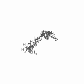 C=C(NC(=O)c1csc(-c2ccc(NC(=O)CCC(=O)N3Cc4ccccc4/C(N(N)CCCCCC=O)=C(/N)c4ccccc43)cc2)n1)C(=O)NC(=C)C(=O)OC